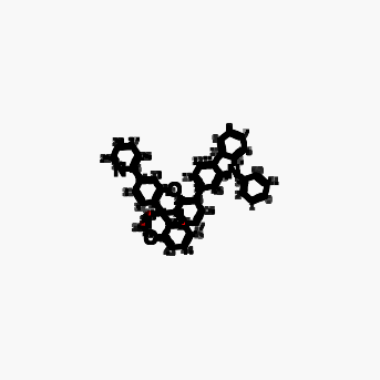 c1ccc(-n2c3ccccc3c3ccc(-c4cccc5c4Oc4cc(-c6ccccn6)ccc4C54c5ccccc5Oc5ccccc54)cc32)cc1